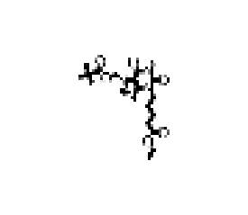 CCOC(=O)CCCCn1c(=O)n(C)c(=O)c2c1ncn2COC(=O)C(C)(C)C